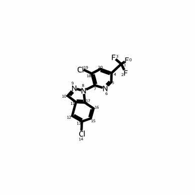 FC(F)(F)c1cnc(-n2ncc3cc(Cl)ccc32)c(Cl)c1